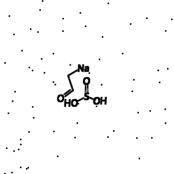 O=C[CH2][Na].O=S(O)O